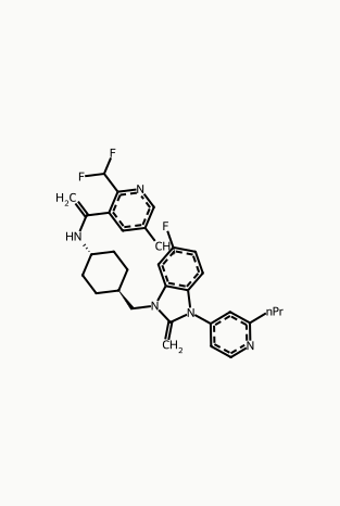 C=C(N[C@H]1CC[C@H](CN2C(=C)N(c3ccnc(CCC)c3)c3ccc(F)cc32)CC1)c1cc(C)cnc1C(F)F